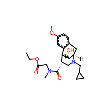 CCOC(=O)CN(C)C(=O)[C@@H]1C[C@]23CCN(CC4CC4)[C@H](Cc4ccc(OC)cc42)[C@]3(O)C1